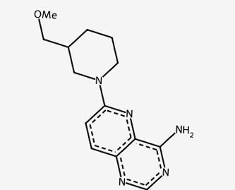 COCC1CCCN(c2ccc3ncnc(N)c3n2)C1